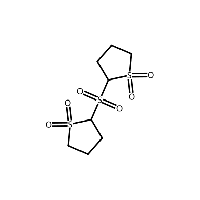 O=S1(=O)CCCC1S(=O)(=O)C1CCCS1(=O)=O